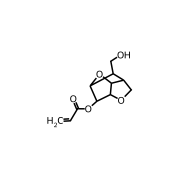 C=CC(=O)OC1C2OC3C(COC31)C2CO